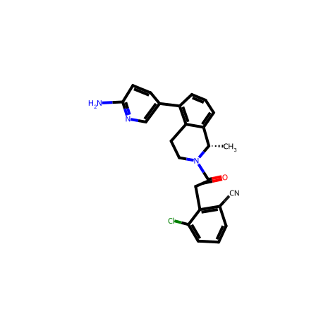 C[C@H]1c2cccc(-c3ccc(N)nc3)c2CCN1C(=O)Cc1c(Cl)cccc1C#N